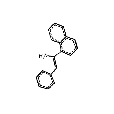 NC(=Cc1ccccc1)[n+]1cccc2ccccc21